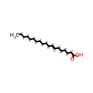 CCCCCCCCCCCC=CCCCCCC(=O)O